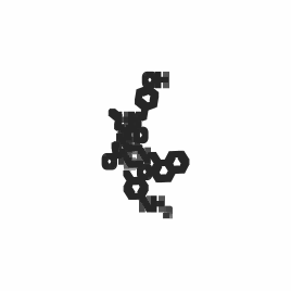 C=CCN(C(=O)NCc1ccc(O)cc1)N1CC(=O)N2[C@@H](Cc3ccc(N)cc3)C(=O)N(Cc3cccc4ccccc34)C[C@@H]21